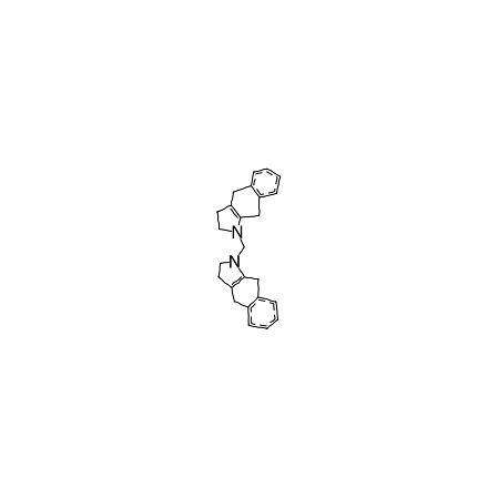 c1ccc2c(c1)CC1=C(C2)N(CN2CCC3=C2Cc2ccccc2C3)CC1